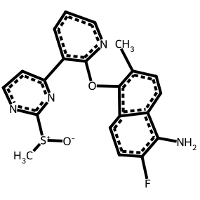 Cc1ccc2c(N)c(F)ccc2c1Oc1ncccc1-c1ccnc([S+](C)[O-])n1